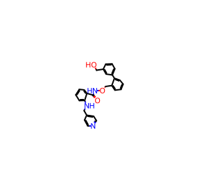 O=C(NOCc1ccccc1-c1cccc(CO)c1)c1ccccc1NCc1ccncc1